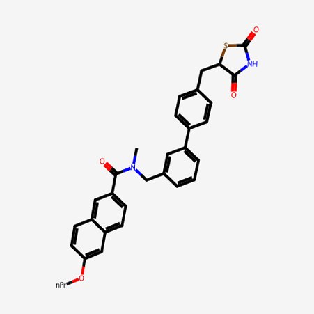 CCCOc1ccc2cc(C(=O)N(C)Cc3cccc(-c4ccc(CC5SC(=O)NC5=O)cc4)c3)ccc2c1